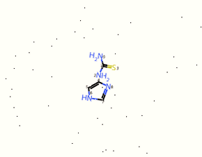 NC(N)=S.c1c[nH]cn1